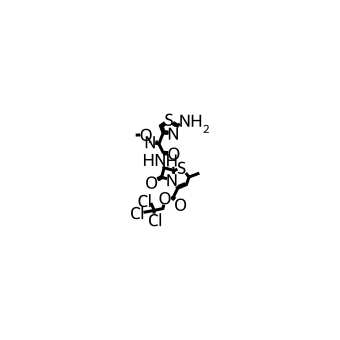 CON=C(C(=O)NC1C(=O)N2C(C(=O)OCC(Cl)(Cl)Cl)=CC(C)S[C@@H]12)c1csc(N)n1